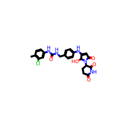 Cc1ccc(NC(=O)NCc2ccc(NC3=CC(=O)N(C4CCC(=O)NC4=O)C3O)cc2)cc1Cl